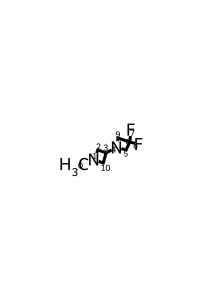 CN1CC(N2CC(F)(F)C2)C1